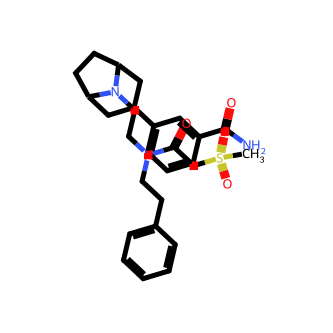 CS(=O)(=O)CC(=O)N(CCc1ccccc1)CCN1C2CCC1CC(c1cccc(C(N)=O)c1)C2